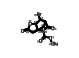 CC(C)(C)OC(=O)N1C(=O)C2CC3C(=O)OC(C2Br)C31